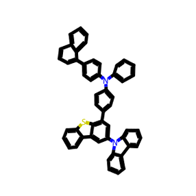 c1ccc(N(c2ccc(-c3cccc4ccccc34)cc2)c2ccc(-c3cc(-n4c5ccccc5c5ccccc54)cc4c3sc3ccccc34)cc2)cc1